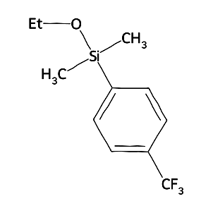 CCO[Si](C)(C)c1ccc(C(F)(F)F)cc1